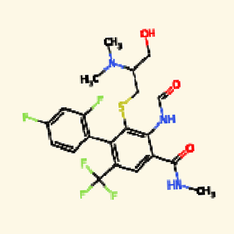 CNC(=O)c1cc(C(F)(F)F)c(-c2ccc(F)cc2F)c(SCC(CO)N(C)C)c1NC=O